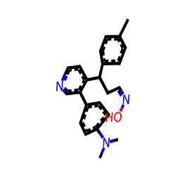 Cc1ccc(C(C/C=N\O)c2ccncc2-c2ccc(N(C)C)cc2)cc1